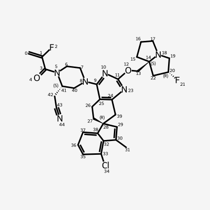 C=C(F)C(=O)N1CCN(c2nc(OC[C@@]34CCCN3C[C@H](F)C4)nc3c2CC[C@]2(C=C(C)c4c(Cl)cccc42)C3)C[C@@H]1CC#N